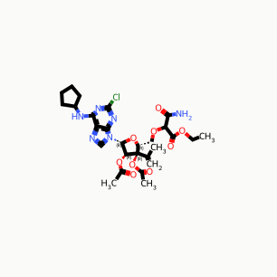 C=C(C)[C@@]1(OC(C)=O)[C@@H](COC(C(N)=O)C(=O)OCC)O[C@@H](n2cnc3c(NC4CCCC4)nc(Cl)nc32)[C@@H]1OC(C)=O